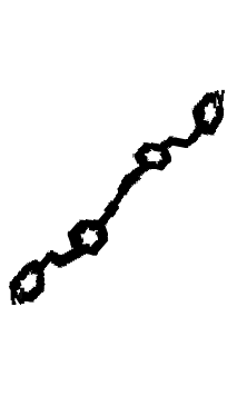 C(C#Cc1ccc(C=Cc2ccncc2)cc1)#Cc1ccc(C=Cc2ccncc2)cc1